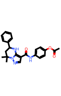 CC(=O)Oc1ccc(NC(=O)c2cnn3c2NC(c2ccccc2)CC3(C)C)cc1